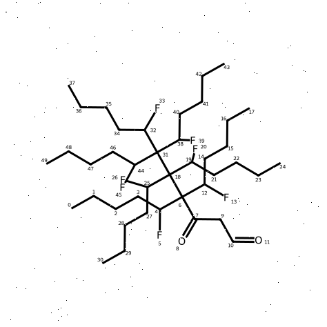 CCCCC(F)C(C(=O)CC=O)(C(F)CCCC)C(C(F)CCCC)(C(F)CCCC)C(C(F)CCCC)(C(F)CCCC)C(F)CCCC